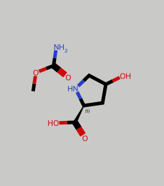 COC(N)=O.O=C(O)[C@@H]1CC(O)CN1